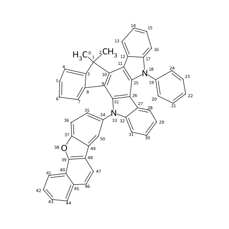 CC1(C)c2ccccc2-c2c1c1c3ccccc3n(-c3ccccc3)c1c1c3ccccc3n(-c3ccc4oc5c6ccccc6ccc5c4c3)c21